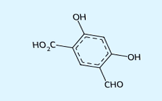 O=Cc1cc(C(=O)O)c(O)cc1O